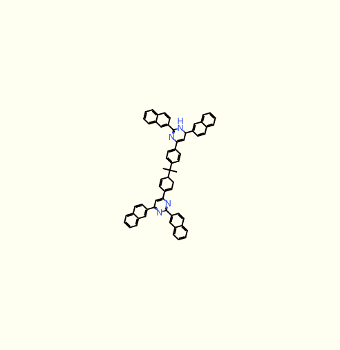 CC(C)(c1ccc(C2=CC(c3ccc4ccccc4c3)NC(c3ccc4ccccc4c3)=N2)cc1)C1C=CC(c2cc(-c3ccc4ccccc4c3)nc(-c3ccc4ccccc4c3)n2)=CC1